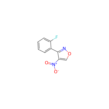 O=[N+]([O-])c1conc1-c1ccccc1F